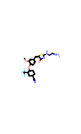 COc1cc(/C=C2/SC(NCCN)=NC2=O)ccc1Oc1ccc(C#N)cc1C(F)(F)F